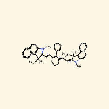 CCCCN1/C(=C/C=C2\CCCC(/C=C/C3=[N+](CCCC)c4ccc5ccccc5c4C3(C)C)=C2c2ccccc2)C(C)(C)c2c1ccc1ccccc21